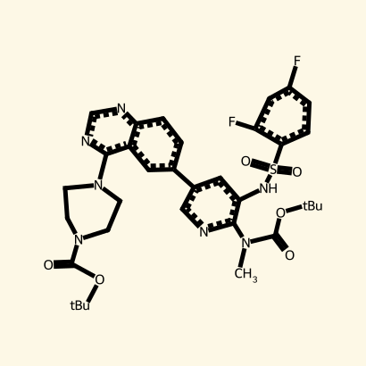 CN(C(=O)OC(C)(C)C)c1ncc(-c2ccc3ncnc(N4CCN(C(=O)OC(C)(C)C)CC4)c3c2)cc1NS(=O)(=O)c1ccc(F)cc1F